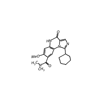 COc1cc2[nH]c(=O)c3cnc(C4CCCCC4)n3c2cc1C(=O)N(C)C